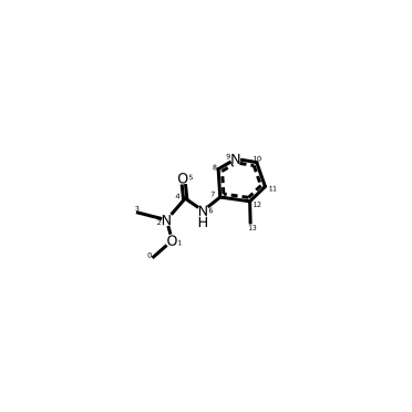 CON(C)C(=O)Nc1cnccc1C